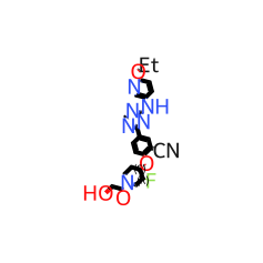 CCOc1ccc(Nc2ncnc(-c3ccc(O[C@H]4CCN(C(=O)CO)C[C@H]4F)c(C#N)c3)n2)cn1